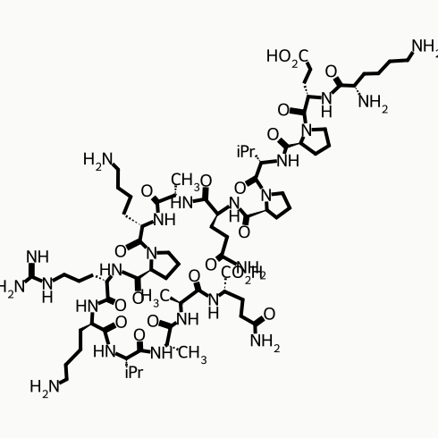 CC(C)[C@H](NC(=O)[C@@H](CCCCN)NC(=O)[C@H](CCCNC(=N)N)NC(=O)[C@@H]1CCCN1C(=O)[C@H](CCCCN)NC(=O)[C@H](C)NC(=O)[C@H](CCC(N)=O)NC(=O)[C@@H]1CCCN1C(=O)[C@@H](NC(=O)[C@@H]1CCCN1C(=O)[C@H](CCC(=O)O)NC(=O)[C@@H](N)CCCCN)C(C)C)C(=O)N[C@@H](C)C(=O)N[C@@H](C)C(=O)N[C@@H](CCC(N)=O)C(=O)O